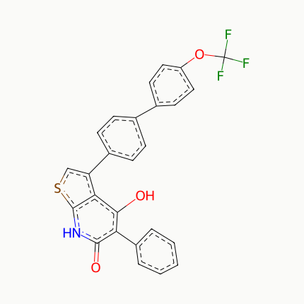 O=c1[nH]c2scc(-c3ccc(-c4ccc(OC(F)(F)F)cc4)cc3)c2c(O)c1-c1ccccc1